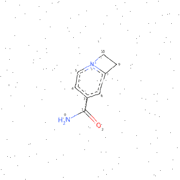 NC(=O)c1cc[n+]2c(c1)CC2